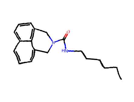 CCCCCCNC(=O)N1Cc2cccc3cccc(c23)C1